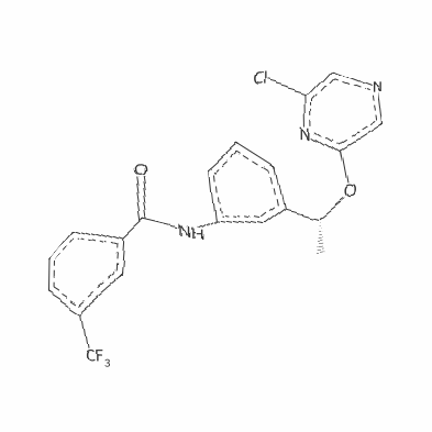 C[C@@H](Oc1cncc(Cl)n1)c1cccc(NC(=O)c2cccc(C(F)(F)F)c2)c1